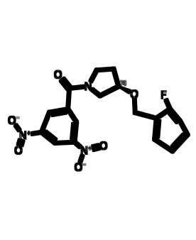 O=C(c1cc([N+](=O)[O-])cc([N+](=O)[O-])c1)N1CC[C@@H](OCc2ccccc2F)C1